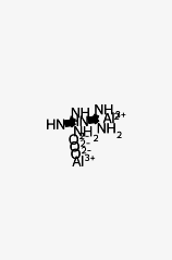 N=C(N)N.N=C(N)N.[Al+3].[Al+3].[O-2].[O-2].[O-2]